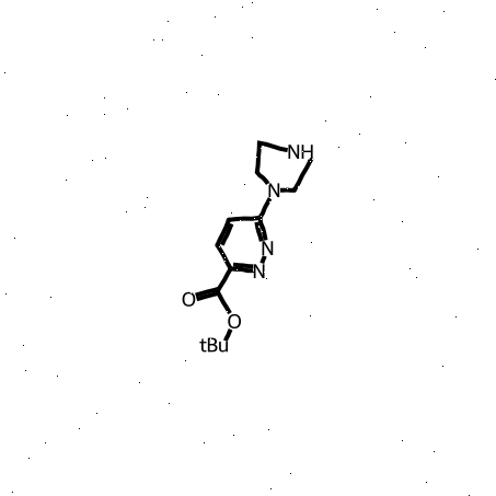 CC(C)(C)OC(=O)c1ccc(N2CCNCC2)nn1